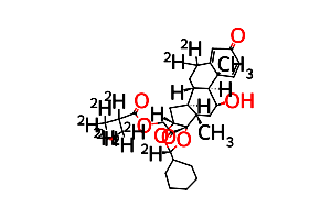 [2H]C1([2H])C[C@@H]2[C@H]([C@@H](O)C[C@@]3(C)[C@H]2C[C@H]2O[C@@]([2H])(C4CCCCC4)O[C@]23C(=O)COC(=O)C([2H])(C([2H])([2H])[2H])C([2H])([2H])[2H])[C@@]2(C)C=CC(=O)C=C12